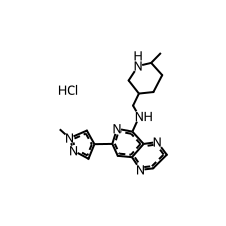 CC1CCC(CNc2nc(-c3cnn(C)c3)cc3nccnc23)CN1.Cl